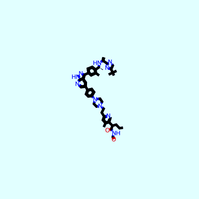 C=C(N[C@H](C)c1ccc(-c2n[nH]c3ncc(-c4ccc(N5CCN(CCc6cc(C)c(C(CCC)C(=O)NC=O)cn6)CC5)cc4)cc23)cc1C)C1=NCC(C(C)(C)C)=N1